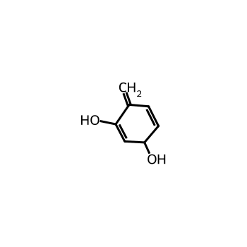 C=C1C=CC(O)C=C1O